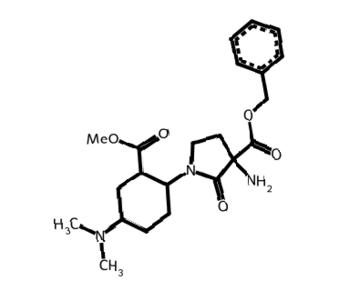 COC(=O)C1CC(N(C)C)CCC1N1CCC(N)(C(=O)OCc2ccccc2)C1=O